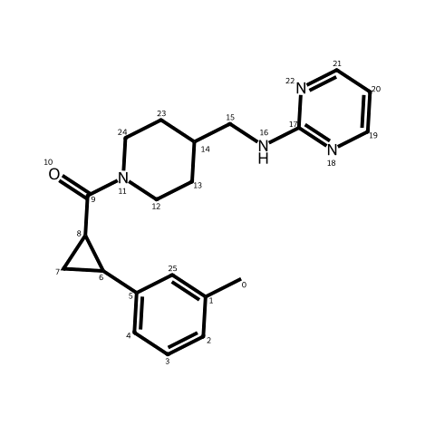 Cc1cccc(C2CC2C(=O)N2CCC(CNc3ncccn3)CC2)c1